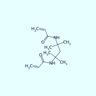 C=CC(=O)NC(C)(C)CC(C)(C)NC(=O)C=C